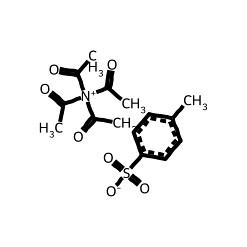 CC(=O)[N+](C(C)=O)(C(C)=O)C(C)=O.Cc1ccc(S(=O)(=O)[O-])cc1